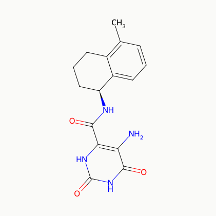 Cc1cccc2c1CCC[C@@H]2NC(=O)c1[nH]c(=O)[nH]c(=O)c1N